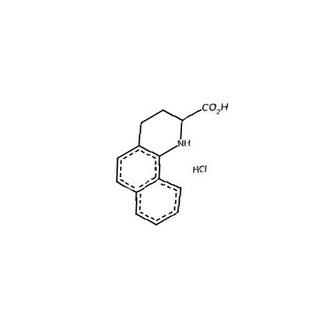 Cl.O=C(O)C1CCc2ccc3ccccc3c2N1